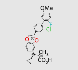 COc1ccc(F)c(-c2ccc([C@@H]3COc4ccc([C@H](C5CC5)[C@@H](C)C(=O)O)cc4O3)cc2Cl)c1